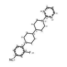 N#Cc1ccc(N2CCC(C3CCN(c4ncccn4)CC3)CC2)c(F)c1